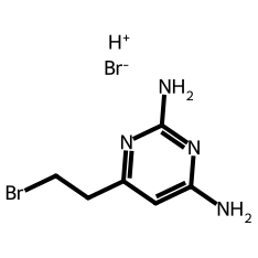 Nc1cc(CCBr)nc(N)n1.[Br-].[H+]